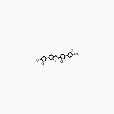 Cc1ccc(-c2ccc(N=Nc3ccc(-c4ccc(C)c(Cl)c4)cc3Cl)c(Cl)c2)cc1Cl